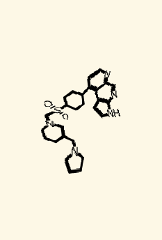 O=S(=O)(CN1CCCC(CN2CCCC2)C1)C1CCC(c2ccnc3cnc4[nH]ccc4c23)CC1